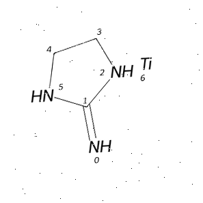 N=C1NCCN1.[Ti]